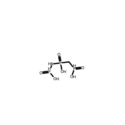 O=[PH](O)BP(=O)(O)C[PH](=O)O